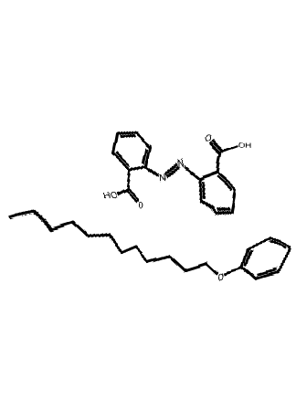 CCCCCCCCCCCCOc1ccccc1.O=C(O)c1ccccc1N=Nc1ccccc1C(=O)O